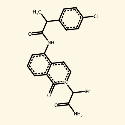 CC(C(=O)Nc1cccc2c(=O)n(C(C(N)=O)C(C)C)ccc12)c1ccc(Cl)cc1